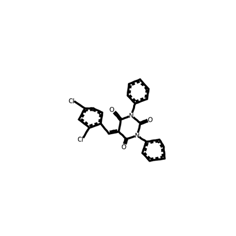 O=C1C(=Cc2ccc(Cl)cc2Cl)C(=O)N(c2ccccc2)C(=O)N1c1ccccc1